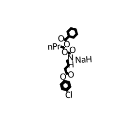 CCCC(OC(=O)NCCCC(=O)Oc1ccc(Cl)cc1)OC(=O)C1CCCCC1.[NaH]